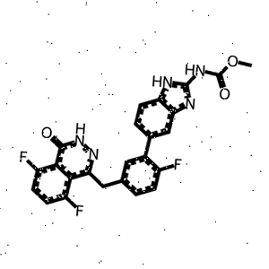 COC(=O)Nc1nc2cc(-c3cc(Cc4n[nH]c(=O)c5c(F)ccc(F)c45)ccc3F)ccc2[nH]1